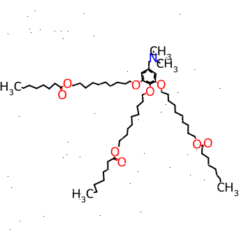 CCCCCCCC(=O)OCCCCCCCCCCOc1cc(CN(C)C)cc(OCCCCCCCCCCOC(=O)CCCCCCC)c1OCCCCCCCCCCOC(=O)CCCCCCC